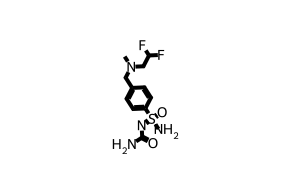 CN(Cc1ccc(S(N)(=O)=NC(N)=O)cc1)CC(F)F